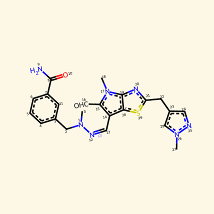 CN(Cc1cccc(C(N)=O)c1)/N=C\c1c(C=O)n(C)c2nc(Cc3cnn(C)c3)sc12